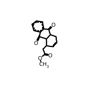 COC(=O)CC1C=CCC2C(=O)c3ccccc3C(=O)C12